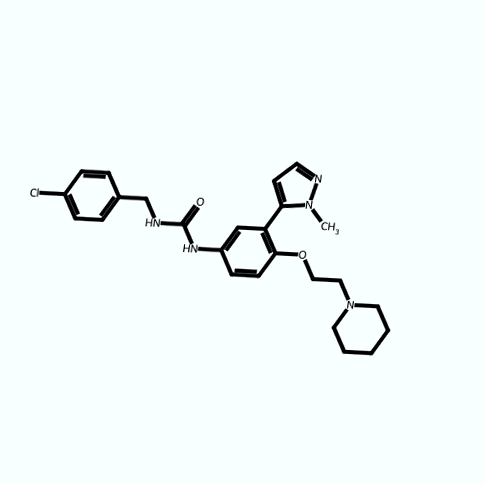 Cn1nccc1-c1cc(NC(=O)NCc2ccc(Cl)cc2)ccc1OCCN1CCCCC1